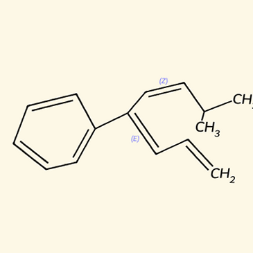 C=C/C=C(\C=C/C(C)C)c1ccccc1